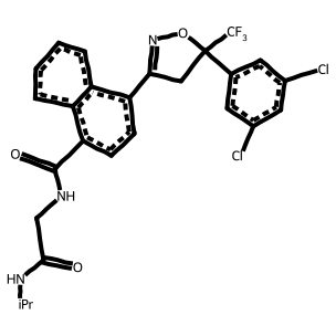 CC(C)NC(=O)CNC(=O)c1ccc(C2=NOC(c3cc(Cl)cc(Cl)c3)(C(F)(F)F)C2)c2ccccc12